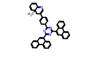 CC12C=CC=CC1=NC=C(C1=CCC(c3nc(-c4cc5ccccc5c5ccccc45)nc(-c4cc5ccccc5c5ccccc45)n3)C=C1)C2